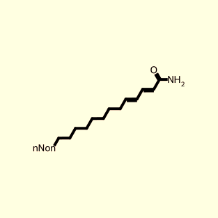 CCCCCCCCCCCCCCCCCC=CC=CC(N)=O